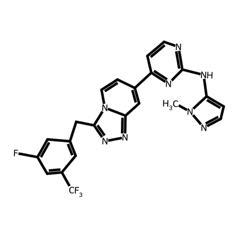 Cn1nccc1Nc1nccc(-c2ccn3c(Cc4cc(F)cc(C(F)(F)F)c4)nnc3c2)n1